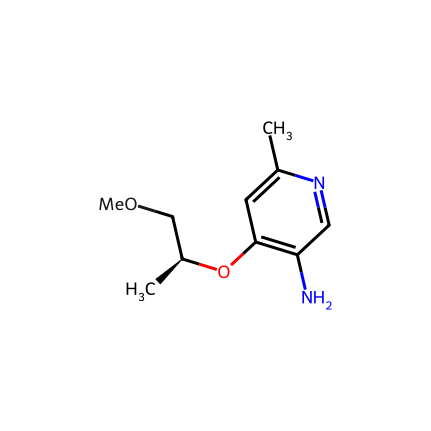 COC[C@H](C)Oc1cc(C)ncc1N